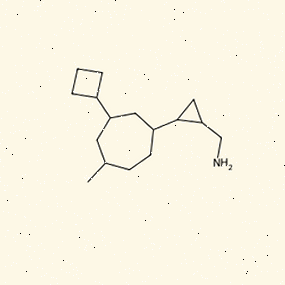 CC1CCC(C2CC2CN)CC(C2CCC2)C1